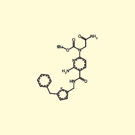 CC(C)(C)OC(=O)N(CC(N)=O)c1ccc(C(=O)NCc2ccc(Cc3ccccc3)s2)c(N)n1